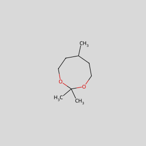 CC1CCOC(C)(C)OCC1